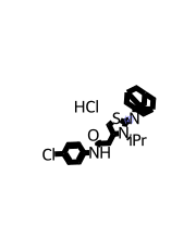 CC(C)N1/C(=N/C23CC4CC(CC(C4)C2)C3)SCC1CC(=O)Nc1ccc(Cl)cc1.Cl